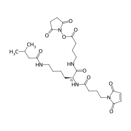 CC(C)CC(=O)NCCCC[C@H](NC(=O)CCCN1C(=O)C=CC1=O)C(=O)NCCCC(=O)ON1C(=O)CCC1=O